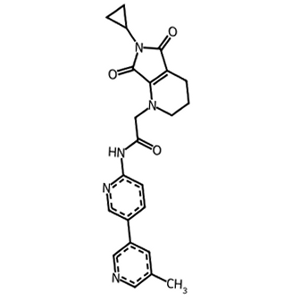 Cc1cncc(-c2ccc(NC(=O)CN3CCCC4=C3C(=O)N(C3CC3)C4=O)nc2)c1